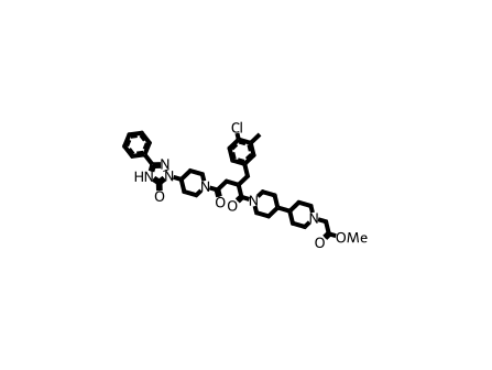 COC(=O)CN1CCC(C2CCN(C(=O)C(CC(=O)N3CCC(n4nc(-c5ccccc5)[nH]c4=O)CC3)Cc3ccc(Cl)c(C)c3)CC2)CC1